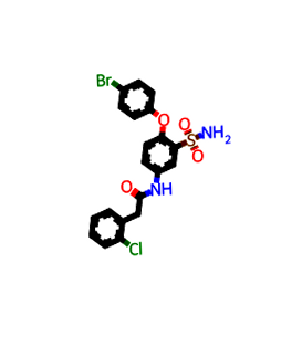 NS(=O)(=O)c1cc(NC(=O)Cc2ccccc2Cl)ccc1Oc1ccc(Br)cc1